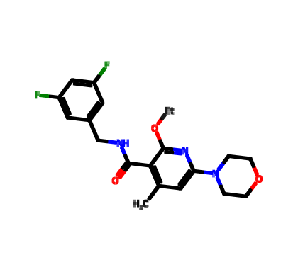 CCOc1nc(N2CCOCC2)cc(C)c1C(=O)NCc1cc(F)cc(F)c1